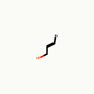 CCC=CC[PH]